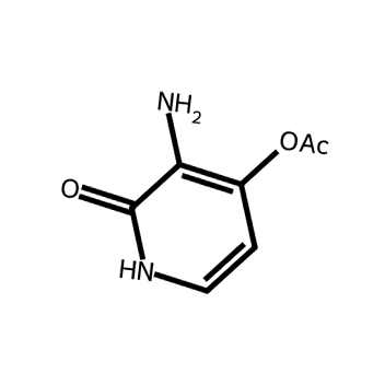 CC(=O)Oc1cc[nH]c(=O)c1N